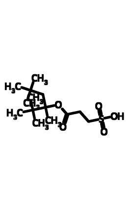 CC(C)(C)CC(C)(OC(=O)CCS(=O)(=O)O)C(C)(C)C